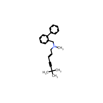 CN(C/C=C/C#CC(C)(C)C)Cc1ccccc1-c1ccccc1